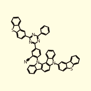 N#Cc1cc(-c2nc(-c3ccccc3)nc(-c3ccc4sc5ccccc5c4c3)n2)ccc1-n1c2ccccc2c2ccc3c(c4ccccc4n3-c3ccc4sc5ccccc5c4c3)c21